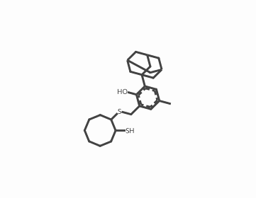 Cc1cc(CSC2CCCCCCC2S)c(O)c(C23CC4CC(CC(C4)C2)C3)c1